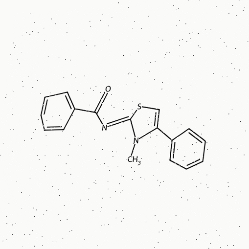 Cn1c(-c2ccccc2)csc1=NC(=O)c1ccccc1